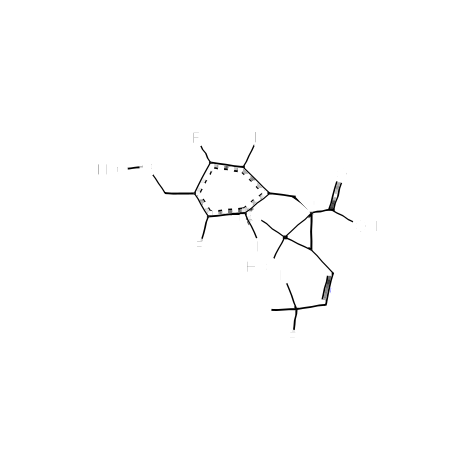 COCc1c(F)c(F)c(C[C@@]2(C(=O)O)C(/C=C\C(F)(F)F)C2(C)C)c(F)c1F